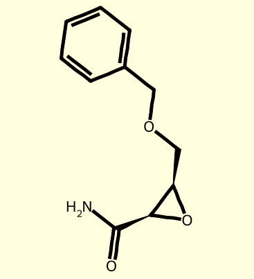 NC(=O)[C@@H]1O[C@@H]1COCc1ccccc1